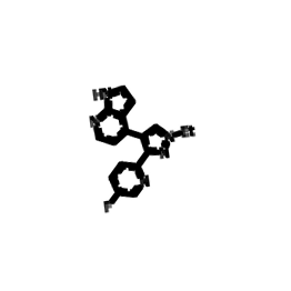 CCn1cc(-c2ccnc3[nH]ccc23)c(-c2ccc(F)cn2)n1